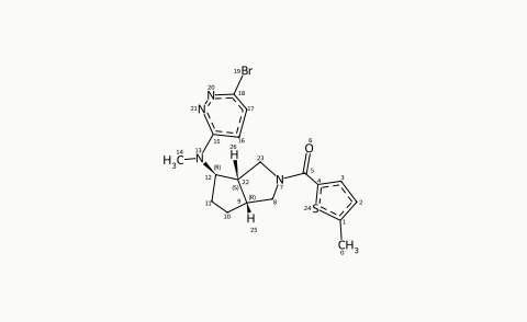 Cc1ccc(C(=O)N2C[C@@H]3CC[C@@H](N(C)c4ccc(Br)nn4)[C@@H]3C2)s1